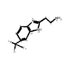 NCCc1nc2ccc(C(F)(F)F)cc2[nH]1